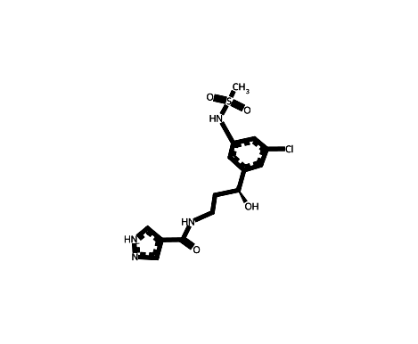 CS(=O)(=O)Nc1cc(Cl)cc([C@@H](O)CCNC(=O)c2cn[nH]c2)c1